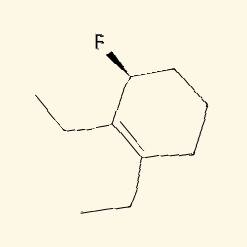 CCC1=C(CC)[C@@H](F)CCC1